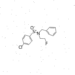 [O-][S+](c1ccc(Cl)cc1)N(CCF)Cc1ccccc1